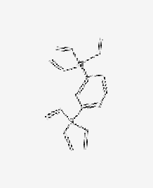 C=C[Si](C=C)(C=C)c1cccc([Si](C=C)(C=C)C=C)c1